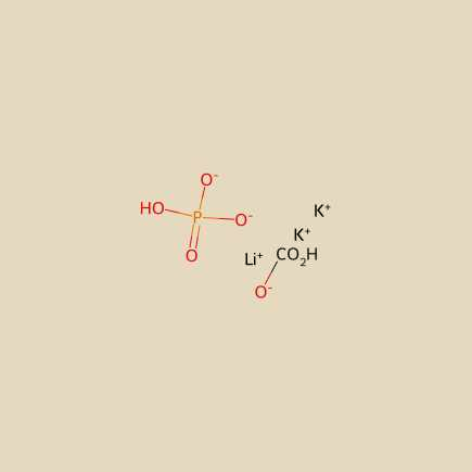 O=C([O-])O.O=P([O-])([O-])O.[K+].[K+].[Li+]